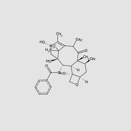 CC(=O)OC1C(=O)[C@@]2(C)[C@H]([C@H](OC(=O)c3ccccc3)[C@]3(O)C[C@H](O)C(C)=C1C3(C)C)[C@]1(OC(C)=O)CO[C@@H]1C[C@@H]2O